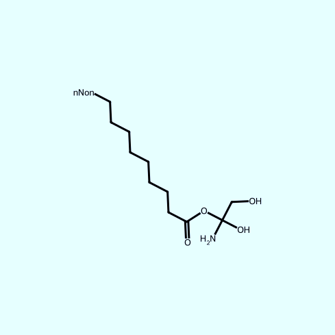 CCCCCCCCCCCCCCCCCC(=O)OC(N)(O)CO